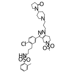 Cc1ccccc1S(=O)(=O)NCCCc1cc(-c2nn(CCCN3CCC(N4CCCC4=O)CC3)c3c2CN(S(C)(=O)=O)CC3)ccc1Cl